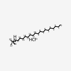 CCCCCCCCCCCCCCCCCCN[N+](C)(C)C.Cl